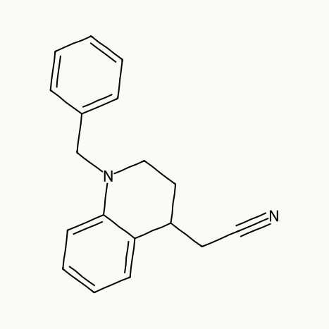 N#CCC1CCN(Cc2ccccc2)c2ccccc21